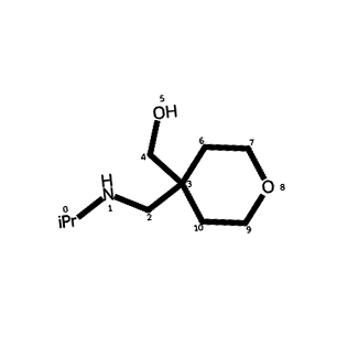 CC(C)NCC1(CO)CCOCC1